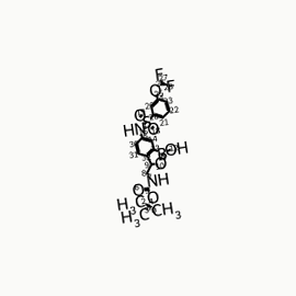 CC(C)(C)OC(=O)NCC1OB(O)c2cc(NS(=O)(=O)c3cccc(OC(F)F)c3)ccc21